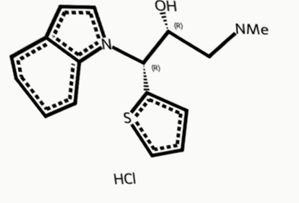 CNC[C@@H](O)[C@H](c1cccs1)n1ccc2ccccc21.Cl